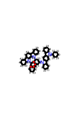 c1ccc(-c2cc(-n3c4ccccc4c4cc5c(cc43)c3ccccc3n5-c3ccccc3)cc(-n3c4ccccc4c4ccc5c6ccccc6n(-c6ccccc6)c5c43)c2)cc1